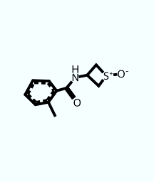 Cc1ccccc1C(=O)NC1C[S+]([O-])C1